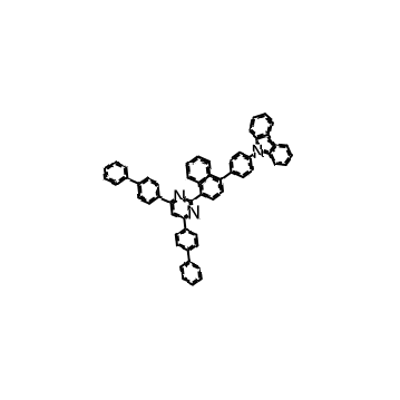 c1ccc(-c2ccc(-c3cc(-c4ccc(-c5ccccc5)cc4)nc(-c4ccc(-c5ccc(-n6c7ccccc7c7ccccc76)cc5)c5ccccc45)n3)cc2)cc1